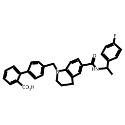 CC(NC(=O)c1ccc2c(c1)CCCN2Cc1ccc(-c2ccccc2C(=O)O)cc1)c1ccc(F)cc1